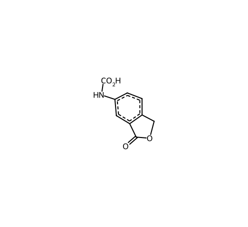 O=C(O)Nc1ccc2c(c1)C(=O)OC2